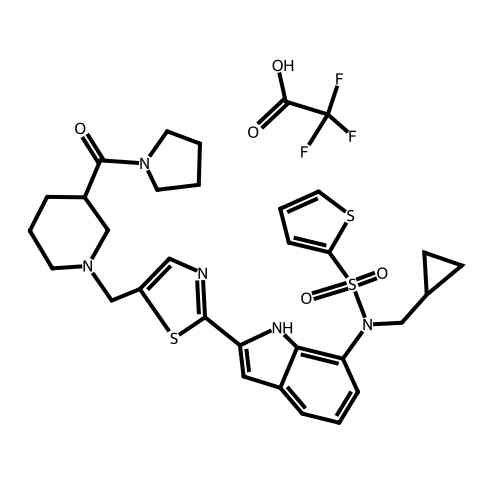 O=C(C1CCCN(Cc2cnc(-c3cc4cccc(N(CC5CC5)S(=O)(=O)c5cccs5)c4[nH]3)s2)C1)N1CCCC1.O=C(O)C(F)(F)F